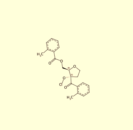 Cc1ccccc1C(=O)OC[C@H]1OCC[C@@]1(OCl)C(=O)c1ccccc1C